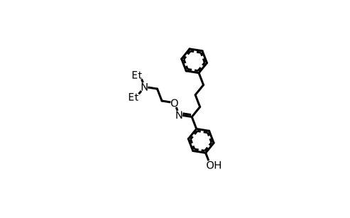 CCN(CC)CCON=C(CCCc1ccccc1)c1ccc(O)cc1